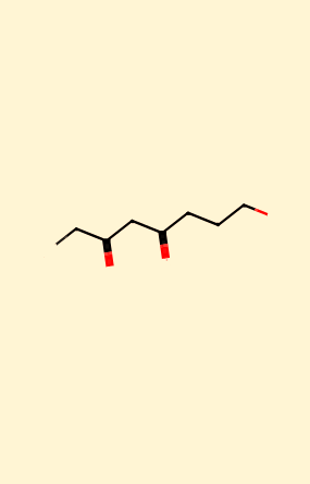 O=C(O)CC(=O)CC(=O)CCCO